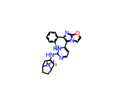 CN1C2CCC1CC(NC1N=CC=C(c3c(-c4ccccc4Cl)nc4occn34)N1)C2